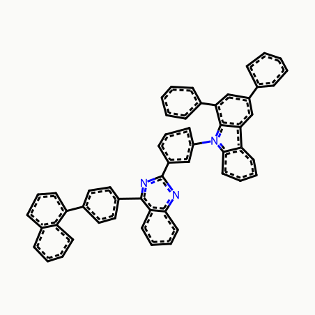 c1ccc(-c2cc(-c3ccccc3)c3c(c2)c2ccccc2n3-c2cccc(-c3nc(-c4ccc(-c5cccc6ccccc56)cc4)c4ccccc4n3)c2)cc1